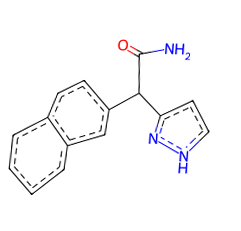 NC(=O)C(c1ccc2ccccc2c1)c1cc[nH]n1